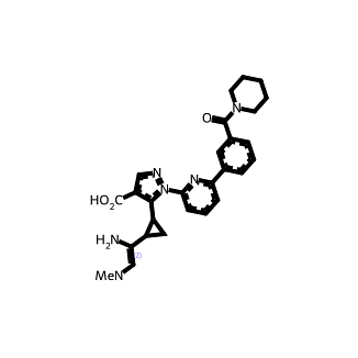 CN/C=C(\N)C1CC1c1c(C(=O)O)cnn1-c1cccc(-c2cccc(C(=O)N3CCCCC3)c2)n1